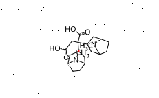 CN1C2CCC1CC(C(CC(=O)O)(C(=O)O)C1CC3CCC(C1)N3C)C2